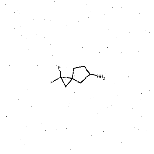 NC1CCC2(C1)CC2(F)F